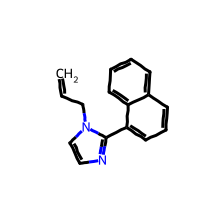 C=CCn1ccnc1-c1cccc2ccccc12